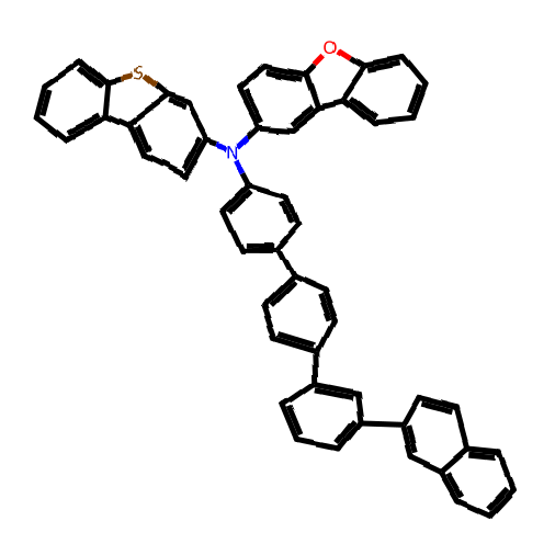 c1cc(-c2ccc(-c3ccc(N(c4ccc5c(c4)sc4ccccc45)c4ccc5oc6ccccc6c5c4)cc3)cc2)cc(-c2ccc3ccccc3c2)c1